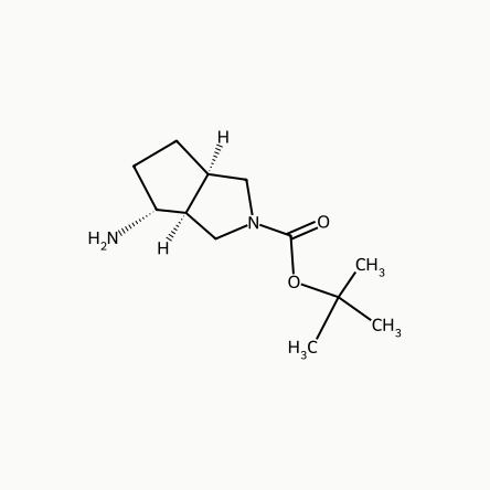 CC(C)(C)OC(=O)N1C[C@@H]2CC[C@@H](N)[C@@H]2C1